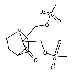 CS(=O)(=O)OCC1(COS(C)(=O)=O)C(=O)C2CCN1CC2